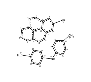 CC(C)(C)c1cc2ccc3cccc4ccc(c1)c2c34.Cc1ccc(Nc2ccc(C)cc2)cc1